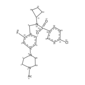 CC(=O)N1CCN(c2ccc(CN(C3CCC3)S(=O)(=O)c3ccc(Cl)cc3)c(F)c2)CC1